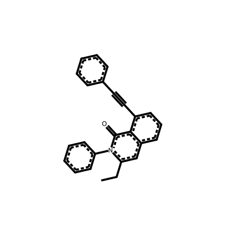 CCc1cc2cccc(C#Cc3ccccc3)c2c(=O)n1-c1ccccc1